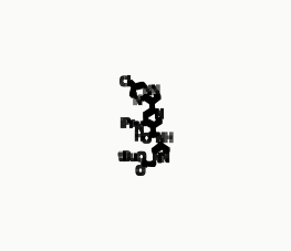 CC(C)Nc1cc(-c2cnn3cc(Cl)cnc23)ncc1C(=O)Nc1cnn(CC(=O)OC(C)(C)C)c1